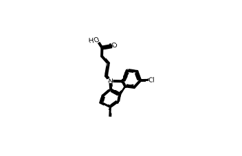 Cc1ccc2c(c1)c1cc(Cl)ccc1n2CCCC(=O)O